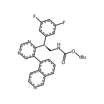 CC(C)(C)OC(=O)NC[C@H](c1cc(F)cc(F)c1)c1ncncc1-c1cccc2cnccc12